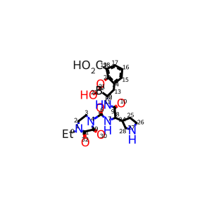 CCN1CCN(C(=O)NC(C(=O)N[C@H]2Cc3cccc(C(=O)O)c3OB2O)C2CCNC2)C(=O)C1=O